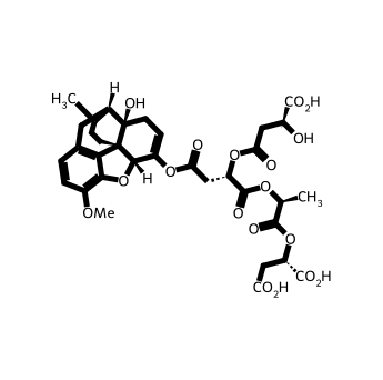 COc1ccc2c3c1O[C@H]1C(OC(=O)C[C@H](OC(=O)C[C@H](O)C(=O)O)C(=O)O[C@@H](C)C(=O)O[C@@H](CC(=O)O)C(=O)O)=CC[C@@]4(O)[C@@H](C2)C(C)CC[C@]314